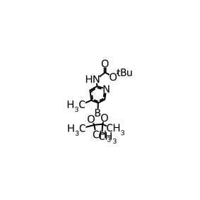 Cc1cc(NC(=O)OC(C)(C)C)ncc1B1OC(C)(C)C(C)(C)O1